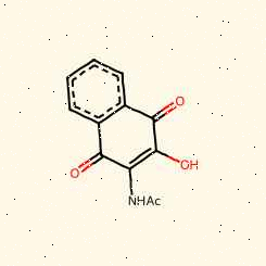 CC(=O)NC1=C(O)C(=O)c2ccccc2C1=O